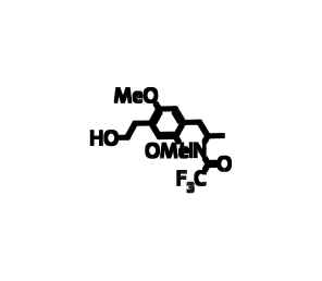 COc1cc(CC(C)NC(=O)C(F)(F)F)c(OC)cc1CCO